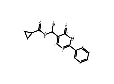 CCC(NC(=O)C1CC1)c1nnc(-c2ccccc2)[nH]c1=O